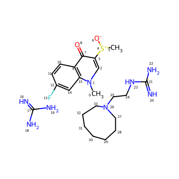 Cn1cc([S+](C)[O-])c(=O)c2ccc(F)cc21.N=C(N)N.N=C(N)NCCN1CCCCCCC1